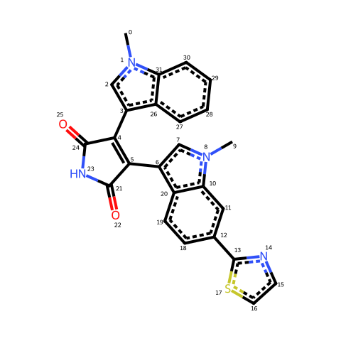 Cn1cc(C2=C(c3cn(C)c4cc(-c5nccs5)ccc34)C(=O)NC2=O)c2ccccc21